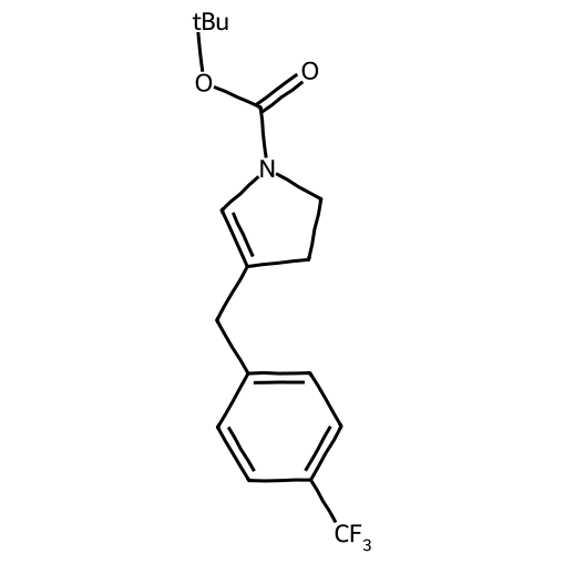 CC(C)(C)OC(=O)N1C=C(Cc2ccc(C(F)(F)F)cc2)CC1